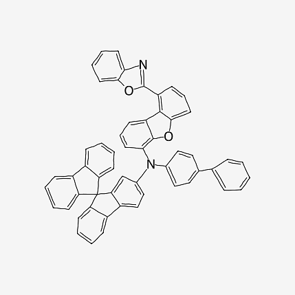 c1ccc(-c2ccc(N(c3ccc4c(c3)C3(c5ccccc5-c5ccccc53)c3ccccc3-4)c3cccc4c3oc3cccc(-c5nc6ccccc6o5)c34)cc2)cc1